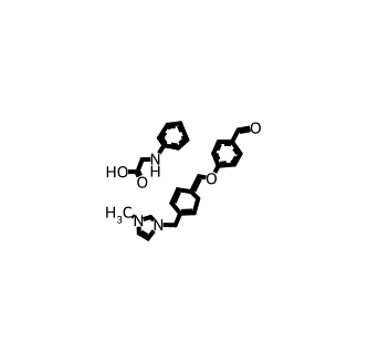 CN1C=CN(CC2=CCC(=COc3ccc(C=O)cc3)C=C2)C1.O=C(O)CNc1ccccc1